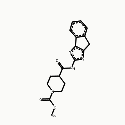 CC(C)(C)OC(=O)N1CCC(C(=O)Nc2nc3c(s2)Cc2ccccc2-3)CC1